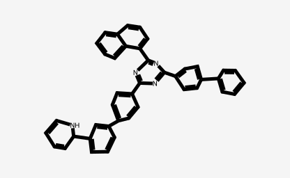 C1=CNC(c2cccc(-c3ccc(-c4nc(-c5ccc(-c6ccccc6)cc5)nc(-c5cccc6ccccc56)n4)cc3)c2)C=C1